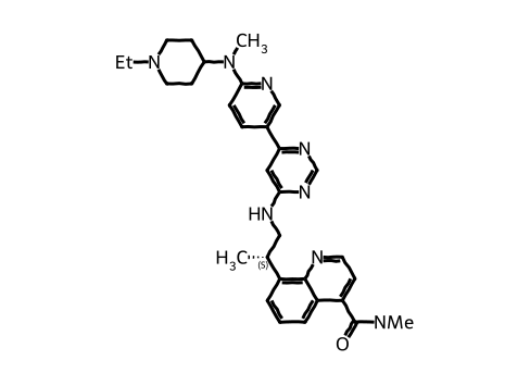 CCN1CCC(N(C)c2ccc(-c3cc(NC[C@@H](C)c4cccc5c(C(=O)NC)ccnc45)ncn3)cn2)CC1